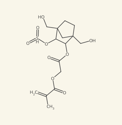 C=C(C)C(=O)OCC(=O)OC1C(O[SH](=O)=O)C2(CO)CCC1(CO)C2